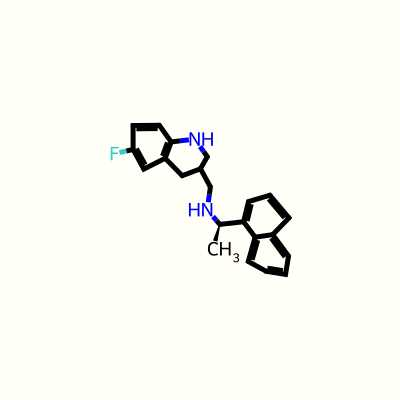 C[C@@H](NCC1CNc2ccc(F)cc2C1)c1cccc2ccccc12